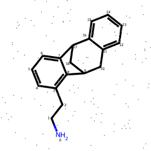 NCCc1cccc2c1C1Cc3ccccc3C2C1